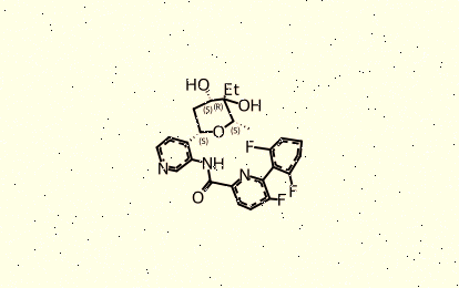 CC[C@]1(O)[C@H](C)O[C@H](c2ccncc2NC(=O)c2ccc(F)c(-c3c(F)cccc3F)n2)C[C@@H]1O